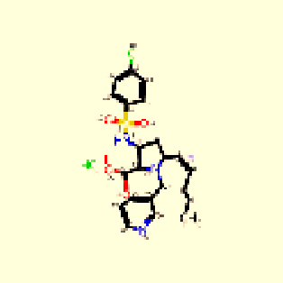 CCC/C=C\C1CC(NS(=O)(=O)c2ccc(Cl)cc2)C(C(=O)O)N1Cc1cccnc1.Cl